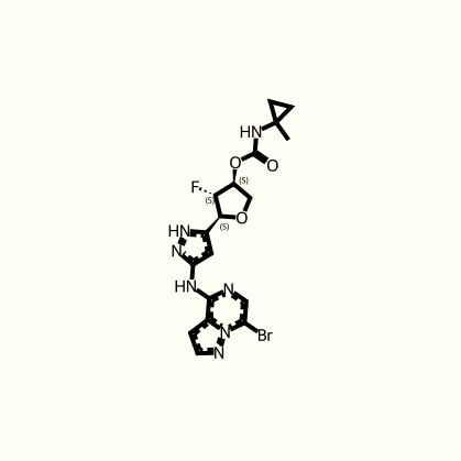 CC1(NC(=O)O[C@H]2CO[C@@H](c3cc(Nc4ncc(Br)n5nccc45)n[nH]3)[C@@H]2F)CC1